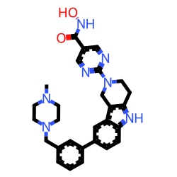 CN1CCN(Cc2cccc(-c3ccc4[nH]c5c(c4c3)CN(c3ncc(C(=O)NO)cn3)CC5)c2)CC1